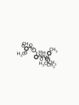 COc1cc(OC)cc(C(=O)N2CCC(Cc3ccccc3NC(=O)Nc3cc(C(C)(C)C)nn3-c3ccc(C)cc3)CC2)c1